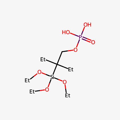 CCO[Si](OCC)(OCC)C(CC)(CC)COP(=O)(O)O